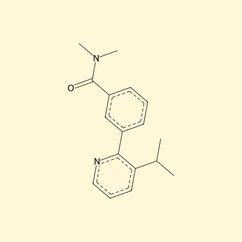 CC(C)c1cccnc1-c1cccc(C(=O)N(C)C)c1